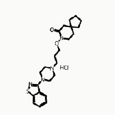 Cl.O=C1CC2(CCCC2)CCN1OCCCN1CCN(c2nsc3ccccc23)CC1